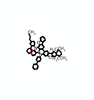 CCCCc1ccc(N2c3c#cccc3B3c4c(cc5c(oc6ccccc65)c42)-c2cc4c(cc2N3c2ccc(-c3ccccc3)cc2)oc2cc3c(cc24)C(C)(C)CCC3(C)C)c(C2=CC=CCC2)c1